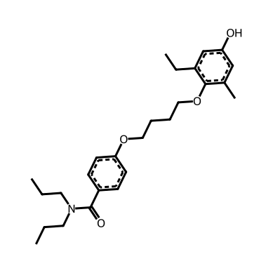 CCCN(CCC)C(=O)c1ccc(OCCCCOc2c(C)cc(O)cc2CC)cc1